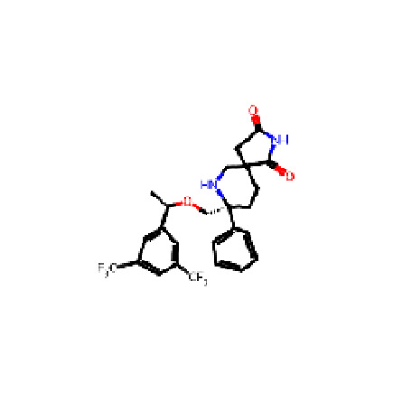 C[C@@H](OC[C@@]1(c2ccccc2)CCC2(CN1)CC(=O)NC2=O)c1cc(C(F)(F)F)cc(C(F)(F)F)c1